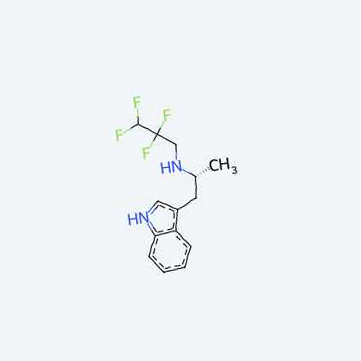 C[C@H](Cc1c[nH]c2ccccc12)NCC(F)(F)C(F)F